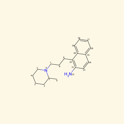 CC1CCCCN1CCCc1c(N)ccc2ccccc12